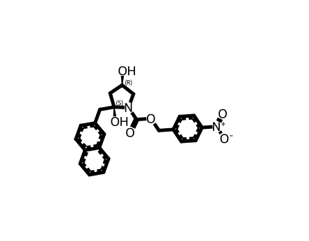 O=C(OCc1ccc([N+](=O)[O-])cc1)N1C[C@H](O)C[C@@]1(O)Cc1ccc2ccccc2c1